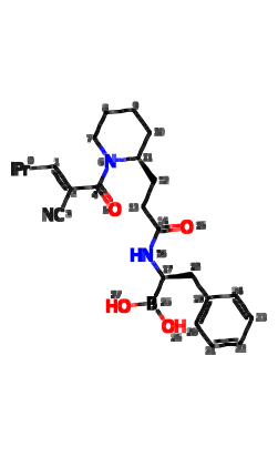 CC(C)C=C(C#N)C(=O)N1CCCC[C@H]1CCC(=O)N[C@@H](Cc1ccccc1)B(O)O